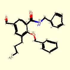 CCCCc1cc(C=O)cc(C(=O)NCc2ccccc2)c1OCc1ccccc1